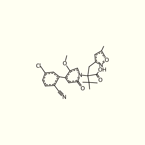 COc1cn(C(Cc2cc(C)on2)(C(=O)O)C(C)(C)C)c(=O)cc1-c1cc(Cl)ccc1C#N